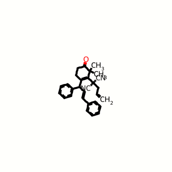 C=CCC(C#N)(C#N)C1=C(C(C=Cc2ccccc2)c2ccccc2)CCC(=O)C1(C)C